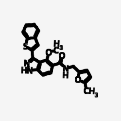 COc1c(C(=O)NCc2ccc(C)o2)ccc2[nH]nc(-c3cc4ccccc4s3)c12